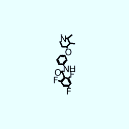 CC1C(Oc2cccc(NC(=O)c3c(F)cc(F)cc3F)c2)CCN(C)C1C